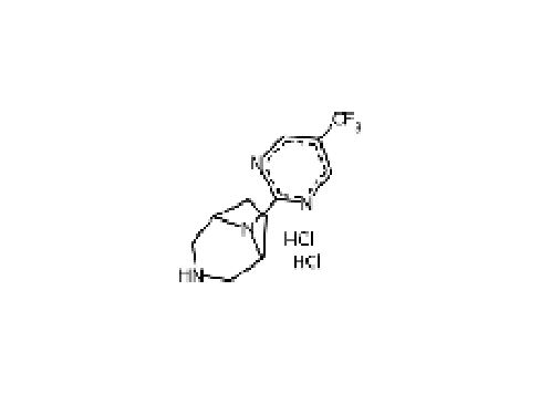 Cl.Cl.FC(F)(F)c1cnc(N2C3CCC2CNC3)nc1